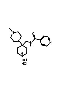 CN1CCN(C2(CNC(=O)c3ccncc3)CCNCC2)CC1.Cl.Cl